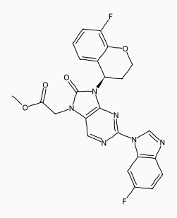 COC(=O)Cn1c(=O)n([C@@H]2CCOc3c(F)cccc32)c2nc(-n3cnc4ccc(F)cc43)ncc21